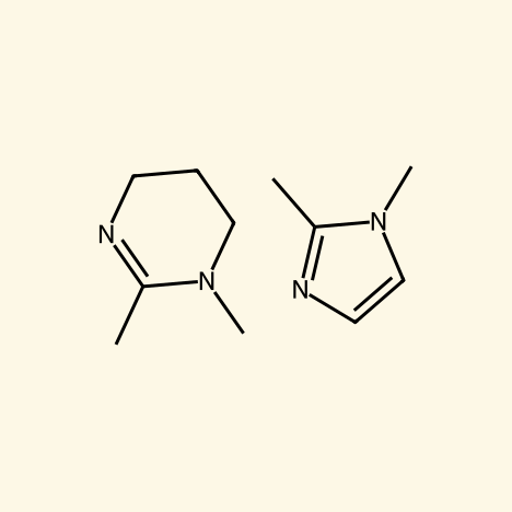 CC1=NCCCN1C.Cc1nccn1C